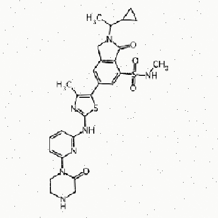 CNS(=O)(=O)c1cc(-c2sc(Nc3cccc(N4CCNCC4=O)n3)nc2C)cc2c1C(=O)N(C(C)C1CC1)C2